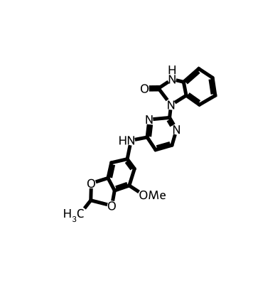 COc1cc(Nc2ccnc(-n3c(=O)[nH]c4ccccc43)n2)cc2c1OC(C)O2